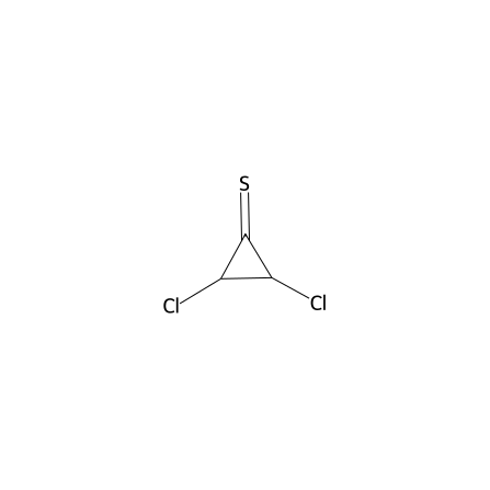 S=C1C(Cl)C1Cl